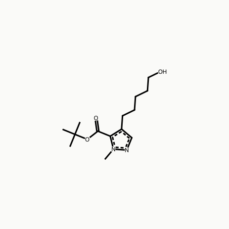 Cn1ncc(CCCCCO)c1C(=O)OC(C)(C)C